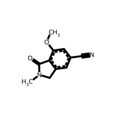 COc1cc(C#N)cc2c1C(=O)N(C)C2